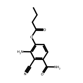 CCCC(=O)Oc1ccc(C(N)=O)c(C#N)c1N